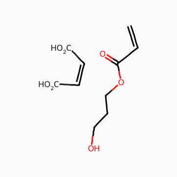 C=CC(=O)OCCCO.O=C(O)/C=C\C(=O)O